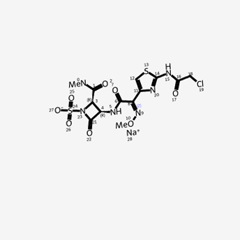 CNC(=O)[C@H]1[C@@H](NC(=O)/C(=N\OC)c2csc(NC(=O)CCl)n2)C(=O)N1S(=O)(=O)[O-].[Na+]